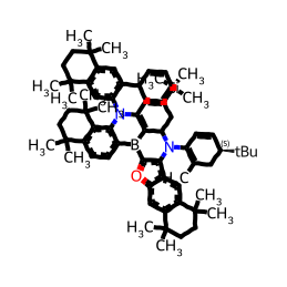 CC1=C(N2c3c(oc4cc5c(cc34)C(C)(C)CCC5(C)C)B3C4=C(C=C([Si](C)(C)C)CC42)N(c2cc4c(cc2C2C=CC=CC2)C(C)(C)CCC4(C)C)c2c3ccc3c2C(C)(C)CCC3(C)C)C=C[C@@H](C(C)(C)C)C1